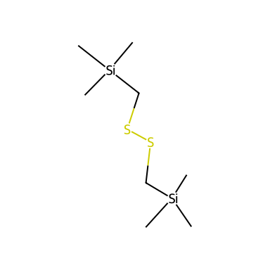 C[Si](C)(C)CSSC[Si](C)(C)C